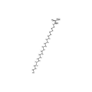 S=C(S)NCCCCCCCCCCCCCCCCCCCCCCCCCI